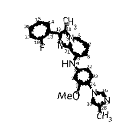 COc1cc(Nc2cccn3c(C)c(-c4ccccc4F)nc23)ccc1-n1cnc(C)c1